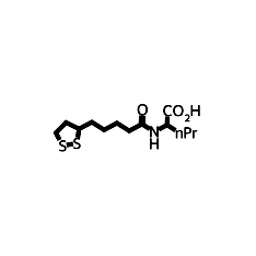 CCCC(NC(=O)CCCCC1CCSS1)C(=O)O